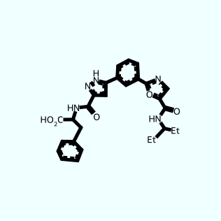 CCC(CC)NC(=O)c1cnc(-c2cccc(-c3cc(C(=O)NC(Cc4ccccc4)C(=O)O)n[nH]3)c2)o1